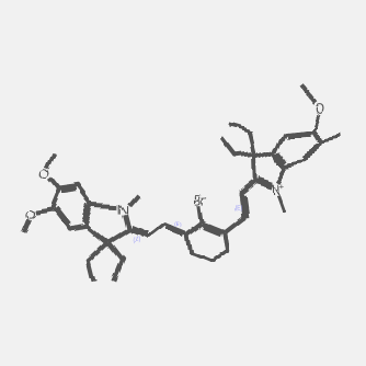 CCC1(CC)C(/C=C/C2=C(Br)C(=C/C=C3\N(C)c4cc(OC)c(OC)cc4C3(CC)CC)/CCC2)=[N+](C)c2cc(C)c(OC)cc21